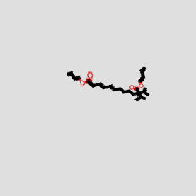 CCCCOC(=O)CCCCCCCCCC(C(=O)OCCCC)(C(C)C)C(C)C